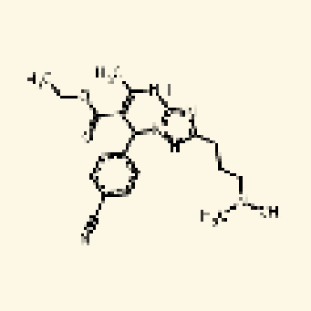 CCOC(=O)C1=C(C)Nc2nc(CCCN(C)C)nn2C1c1ccc(C#N)cc1